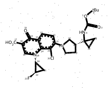 CC(C)(C)OC(=O)NC1([C@@H]2CCN(c3ccc4c(=O)c(C(=O)O)cn([C@@H]5C[C@H]5F)c4c3Cl)C2)CC1